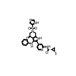 O=C1CN(S(=O)(=O)c2cnc[nH]2)Cc2[nH]c(-c3ccnc(NC(=O)[C@@H]4C[C@@H]4F)c3)c(Nc3ccccc3)c21